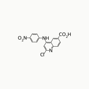 O=C(O)c1ccc2nc(Cl)cc(Nc3ccc([N+](=O)[O-])cc3)c2c1